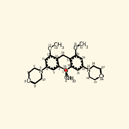 COc1cc(N2CCOCC2)cc(OC)c1Cc1c(OC)cc(N2CCOCC2)cc1OC